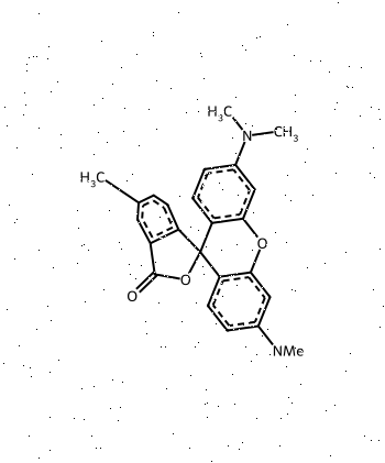 CNc1ccc2c(c1)Oc1cc(N(C)C)ccc1C21OC(=O)c2cc(C)ccc21